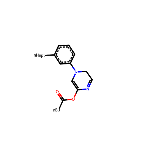 CCCCCCCc1cccc(N2C=C(OC(=O)CCCC)N=CC2)c1